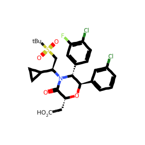 CC(C)(C)S(=O)(=O)C[C@H](C1CC1)N1C(=O)[C@@H](CC(=O)O)O[C@H](c2cccc(Cl)c2)[C@H]1c1ccc(Cl)c(F)c1